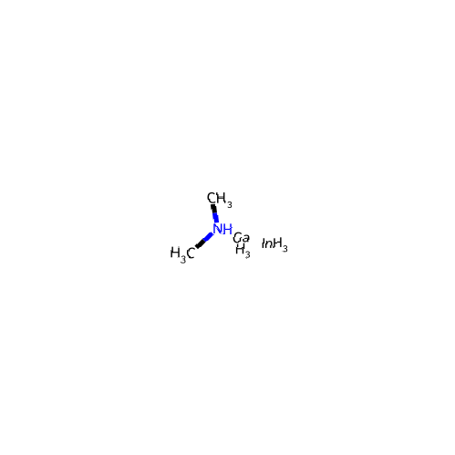 CNC.[GaH3].[InH3]